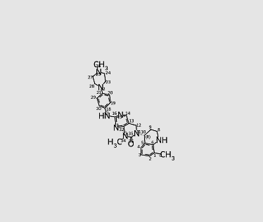 Cc1cccc2c1NCC[C@H]2N1Cc2cnc(Nc3ccc(N4CCN(C)CC4)cc3)nc2N(C)C1=O